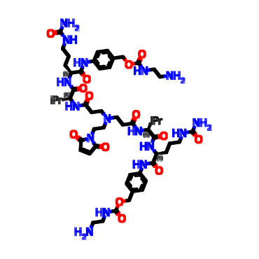 CC(C)[C@H](NC(=O)CCN(CCC(=O)N[C@H](C(=O)N[C@@H](CCCNC(N)=O)C(=O)Nc1ccc(COC(=O)NCCN)cc1)C(C)C)CCN1C(=O)C=CC1=O)C(=O)N[C@@H](CCCNC(N)=O)C(=O)Nc1ccc(COC(=O)NCCN)cc1